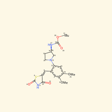 COc1cc(C=C2SC(=O)NC2=O)c(N2CC[C@@H](NC(=O)OC(C)(C)C)C2)cc1OC